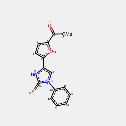 COC(=O)c1ccc(-c2cn(-c3ccccc3)c(=S)[nH]2)o1